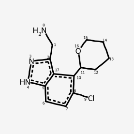 NCc1n[nH]c2ccc(Cl)c(C3CCCCO3)c12